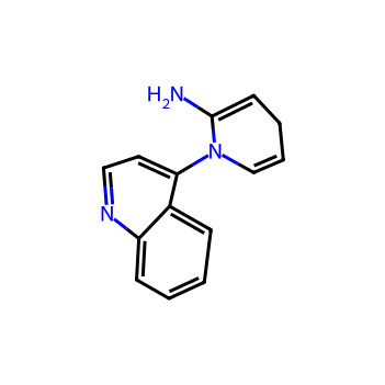 NC1=CCC=CN1c1ccnc2ccccc12